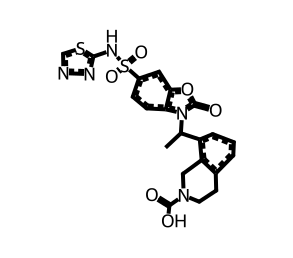 CC(c1cccc2c1CN(C(=O)O)CC2)n1c(=O)oc2cc(S(=O)(=O)Nc3nncs3)ccc21